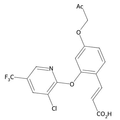 CC(=O)COc1ccc(C=CC(=O)O)c(Oc2ncc(C(F)(F)F)cc2Cl)c1